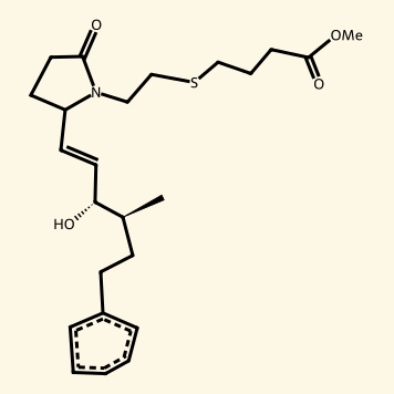 COC(=O)CCCSCCN1C(=O)CCC1C=C[C@@H](O)[C@@H](C)CCc1ccccc1